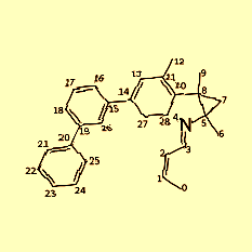 C/C=C\C=N\C1(C)CC1(C)C1=C(C)C=C(c2cccc(-c3ccccc3)c2)CC1